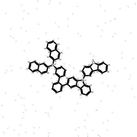 c1cc(-c2ccccc2-c2ccc3c(c2)c2ccccc2n3-c2ccc3oc4ccccc4c3c2)cc(N(c2ccc3ccccc3c2)c2ccc3ccccc3c2)c1